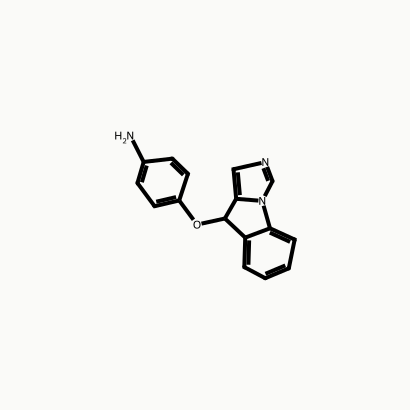 Nc1ccc(OC2c3ccccc3-n3cncc32)cc1